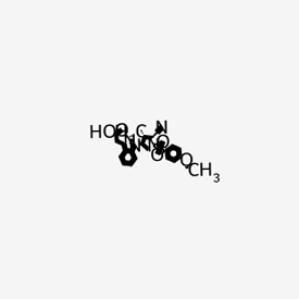 CCOc1ccc(S(=O)(=O)N2C[C@@H](n3nc(CC(=O)O)c4ccccc43)[C@H](C)[C@H]2C#N)cc1